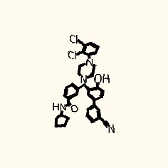 N#Cc1cccc(-c2ccc(O)c(C(c3cccc(C(=O)NC4CCCC4)c3)N3CCN(c4cccc(Cl)c4Cl)CC3)c2)c1